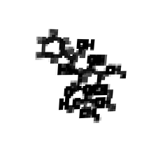 CC(C)[C@H](O)[C@H](NC(CO)c1ccccc1)C(=O)OC(C)(C)C